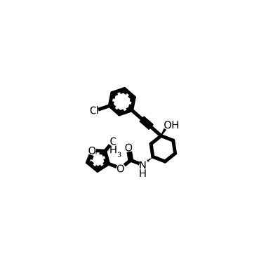 Cc1occc1OC(=O)N[C@H]1CCC[C@@](O)(C#Cc2cccc(Cl)c2)C1